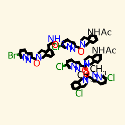 CC(=O)Nc1cccc2c1CCN(C(=O)c1cc3ccc(Cl)cn3n1)C2.CC(=O)Nc1cccc2c1CCN(C(=O)c1cc3ccc(Cl)cn3n1)C2C.CC1c2cccc(Cl)c2CCN1C(=O)c1cc2ccc(Cl)cn2n1.NC(=O)Cc1cccc2c1CCN(C(=O)c1cc3ccc(Br)cn3n1)C2